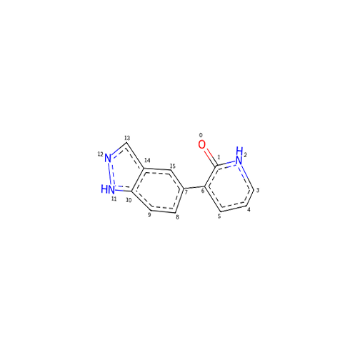 O=c1[nH]cccc1-c1ccc2[nH]ncc2c1